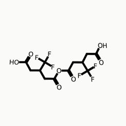 O=C(O)CC(CC(=O)OC(=O)CC(CC(=O)O)C(F)(F)F)C(F)(F)F